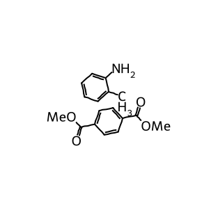 COC(=O)c1ccc(C(=O)OC)cc1.Cc1ccccc1N